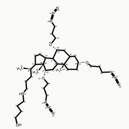 C[C@H](CCCNCCCCO)C1CCC2C3C(C[C@H](OCCCN=[N+]=[N-])[C@@]21C)[C@@]1(C)CC[C@@H](OCCCN=[N+]=[N-])CC1C[C@H]3OCCCN=[N+]=[N-]